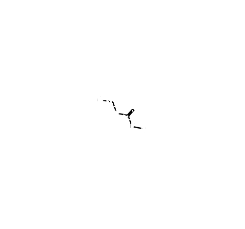 CC(C)COC(=O)NC#N